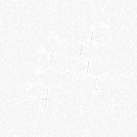 C=C/C(=N\CC(C)N(C)C(C=N)CC/C=C(/C(N)=O)c1ccc(OC)nc1)C(F)(F)F